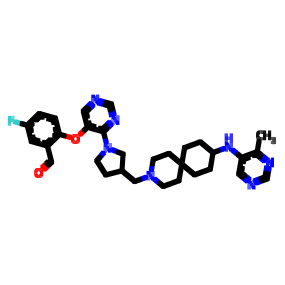 Cc1ncncc1NC1CCC2(CC1)CCN(CC1CCN(c3ncncc3Oc3ccc(F)cc3C=O)C1)CC2